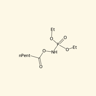 CCCCCC(=O)ONP(=O)(OCC)OCC